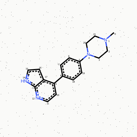 CN1CCN(c2ccc(-c3ccnc4[nH]ccc34)cc2)CC1